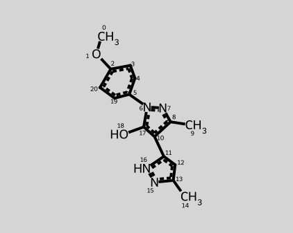 COc1ccc(-n2nc(C)c(-c3cc(C)n[nH]3)c2O)cc1